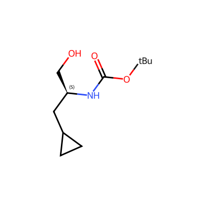 CC(C)(C)OC(=O)N[C@H](CO)CC1CC1